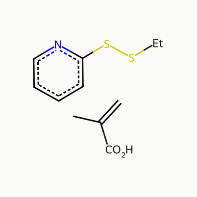 C=C(C)C(=O)O.CCSSc1ccccn1